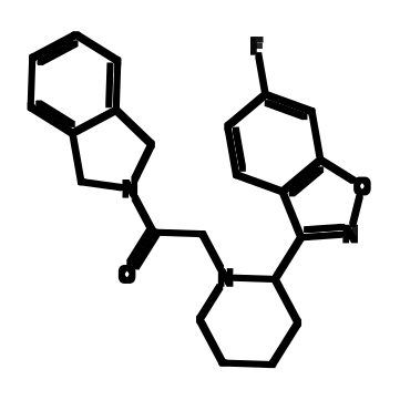 O=C(CN1CCCCC1c1noc2cc(F)ccc12)N1Cc2ccccc2C1